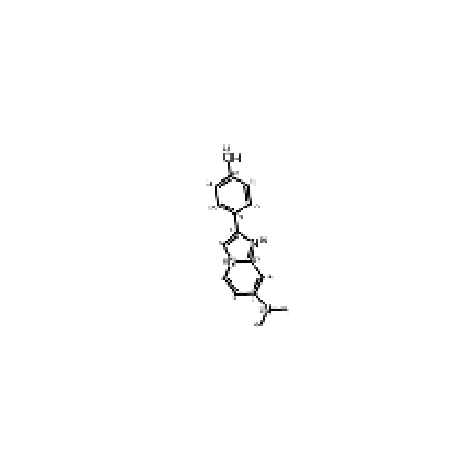 CN(C)c1ccn2cc(-c3ccc(O)cc3)nc2c1